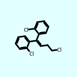 ClCCC=C(c1ccccc1Cl)c1ccccc1Cl